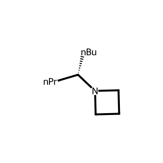 CCCC[C@@H](CCC)N1CCC1